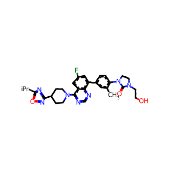 Cc1cc(-c2cc(F)cc3c(N4CCC(c5noc(C(C)C)n5)CC4)ncnc23)ccc1N1CCN(CCO)C1=O